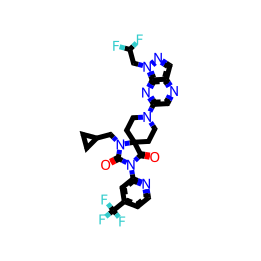 O=C1N(c2cc(C(F)(F)F)ccn2)C(=O)C2(CCN(c3cnc4cnn(CC(F)F)c4n3)CC2)N1CC1CC1